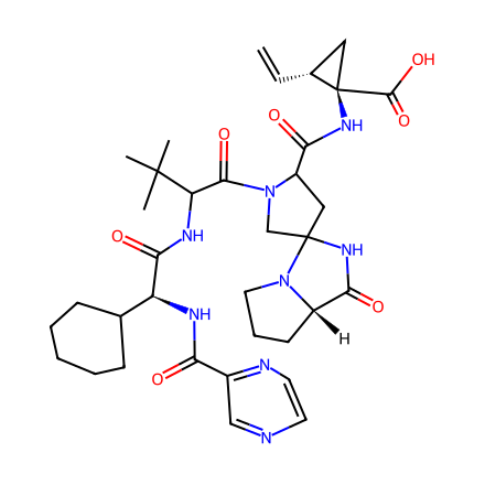 C=C[C@@H]1C[C@]1(NC(=O)C1CC2(CN1C(=O)C(NC(=O)[C@@H](NC(=O)c1cnccn1)C1CCCCC1)C(C)(C)C)NC(=O)[C@@H]1CCCN12)C(=O)O